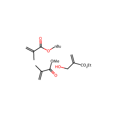 C=C(C)C(=O)OC.C=C(C)C(=O)OCCCC.C=C(CO)C(=O)OCC